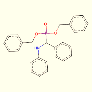 O=P(OCc1ccccc1)(OCc1ccccc1)C(Nc1ccccc1)c1ccccc1